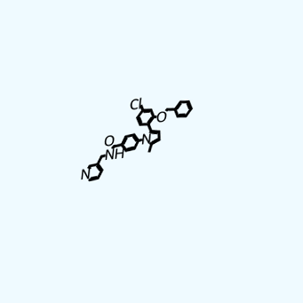 Cc1ccc(-c2ccc(Cl)cc2OCc2ccccc2)n1-c1ccc(C(=O)NCc2cccnc2)cc1